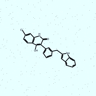 O=c1[nH]c2cc(Cl)ccc2c(O)c1-c1cccc(Cc2cc3ccccc3[nH]2)c1